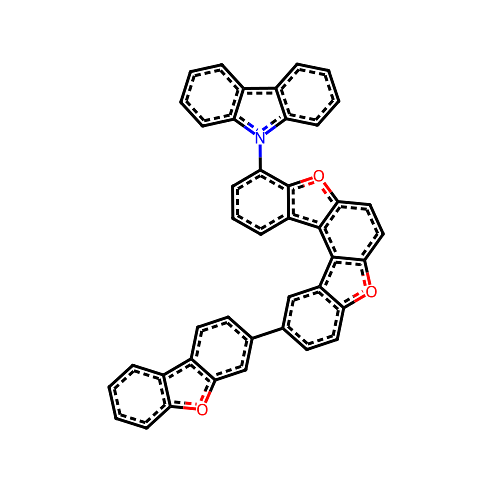 c1ccc2c(c1)oc1cc(-c3ccc4oc5ccc6oc7c(-n8c9ccccc9c9ccccc98)cccc7c6c5c4c3)ccc12